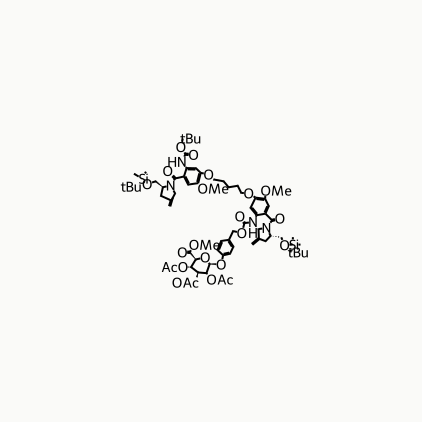 C=C1C[C@@H](CO[Si](C)(C)C(C)(C)C)N(C(=O)c2cc(OC)c(OCCCCCOc3cc(NC(=O)OC(C)(C)C)c(C(=O)N4CC(=C)C[C@H]4CO[Si](C)(C)C(C)(C)C)cc3OC)cc2NC(=O)OCc2ccc(O[C@@H]3O[C@H](C(=O)OC)[C@@H](OC(C)=O)[C@H](OC(C)=O)[C@H]3OC(C)=O)cc2)C1